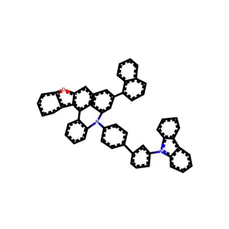 c1cc(-c2cccc3ccccc23)cc(N(c2ccc(-c3cccc(-n4c5ccccc5c5ccccc54)c3)cc2)c2ccccc2-c2cccc3oc4ccccc4c23)c1